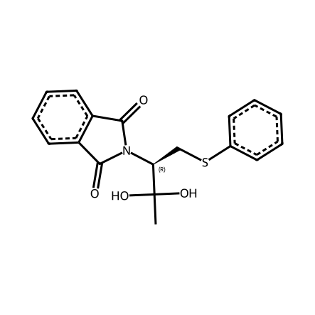 CC(O)(O)[C@H](CSc1ccccc1)N1C(=O)c2ccccc2C1=O